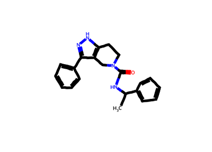 CC(NC(=O)N1CCc2[nH]nc(-c3ccccc3)c2C1)c1ccccc1